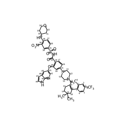 Cc1cc(C(F)(F)F)ccc1C1=C(CN2CCN(c3ccc(C(=O)NS(=O)(=O)c4ccc(NC5CCOCC5)c([N+](=O)[O-])c4)c(Oc4cnc5[nH]ccc5c4)c3)CC2)CCC(C)(C)C1